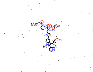 CCc1ncccc1-c1c(CC(C)(C)CO)c2cc(-c3nc(C[C@H](NC(=O)OC(C)(C)C)C(=O)N4CCC[C@@H](C(=O)OC)N4)cs3)ccc2n1CC